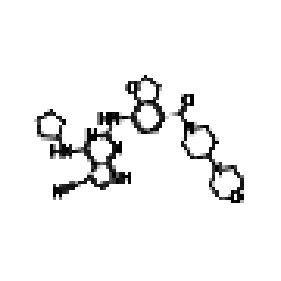 N#Cc1c[nH]c2nc(Nc3ccc(C(=O)N4CCC(N5CCOCC5)CC4)c4c3OCC4)nc(NC3CCCC3)c12